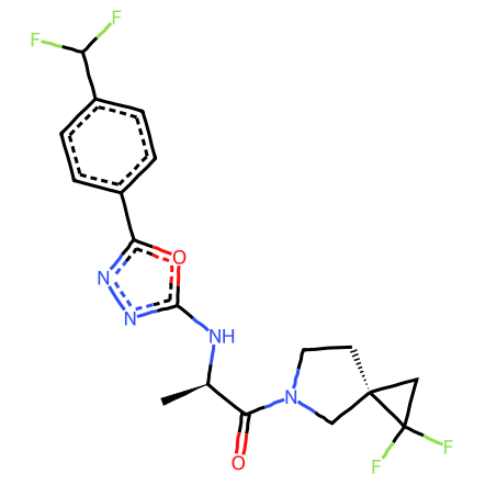 C[C@@H](Nc1nnc(-c2ccc(C(F)F)cc2)o1)C(=O)N1CC[C@]2(C1)CC2(F)F